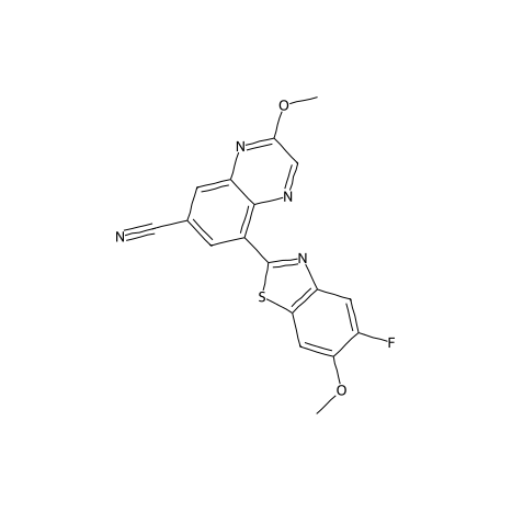 COc1cnc2c(-c3nc4cc(F)c(OC)cc4s3)cc(C#N)cc2n1